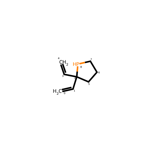 C=CC1(C=C)CCCP1